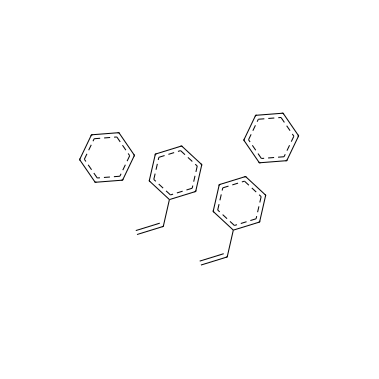 C=Cc1ccccc1.C=Cc1ccccc1.c1ccccc1.c1ccccc1